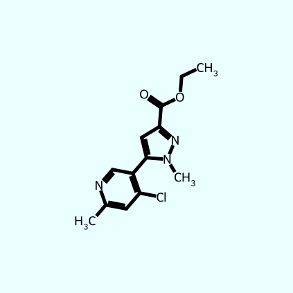 CCOC(=O)c1cc(-c2cnc(C)cc2Cl)n(C)n1